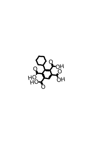 O=C(O)c1cc(C(=O)O)c(C(=O)O)c(C2CCCCC2)c1C(=O)O